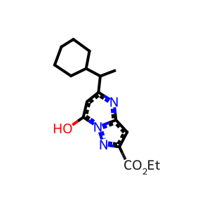 CCOC(=O)c1cc2nc(C(C)C3CCCCC3)cc(O)n2n1